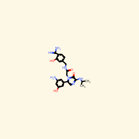 CC(C)Nc1ncc(-c2cc(N)cc(O)c2)n(CC(=O)NCc2ccc(C(=N)N)c(O)c2)c1=O